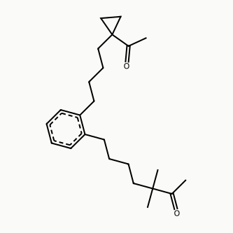 CC(=O)C(C)(C)CCCCc1ccccc1CCCCC1(C(C)=O)CC1